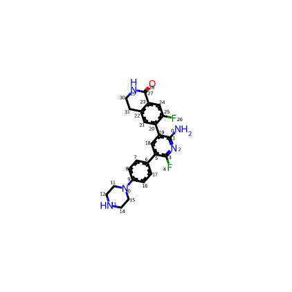 Nc1nc(F)c(-c2ccc(N3CCNCC3)cc2)cc1-c1cc2c(cc1F)C(=O)NCC2